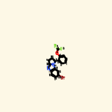 FC(F)Oc1ccccc1[C@@H]1CCc2nc3ccc(Br)cc3n21